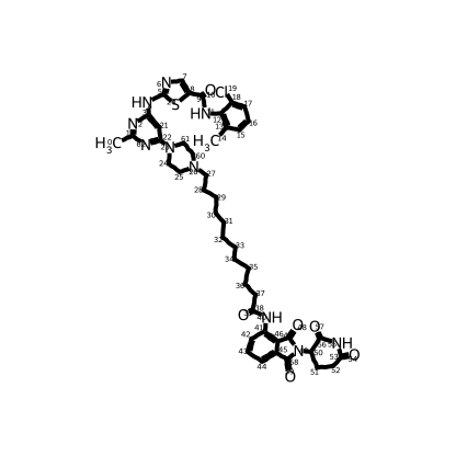 Cc1nc(Nc2ncc(C(=O)Nc3c(C)cccc3Cl)s2)cc(N2CCN(CCCCCCCCCCCC(=O)Nc3cccc4c3C(=O)N(C3CCC(=O)NC3=O)C4=O)CC2)n1